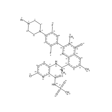 CC(=O)N1CCN(c2cc(F)c(-c3nc4c([C@@H](C)Nc5ccc(Cl)nc5C(=O)NS(C)(=O)=O)cc(C)cc4c(=O)n3C)cc2F)CC1